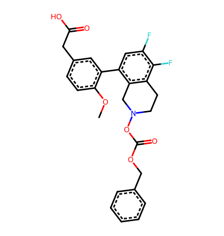 COc1ccc(CC(=O)O)cc1-c1cc(F)c(F)c2c1CN(OC(=O)OCc1ccccc1)CC2